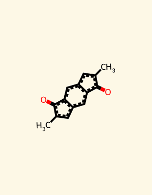 Cc1cc2cc3c(=O)c(C)cc3cc2c1=O